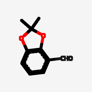 CC1(C)Oc2cccc(C=O)c2O1